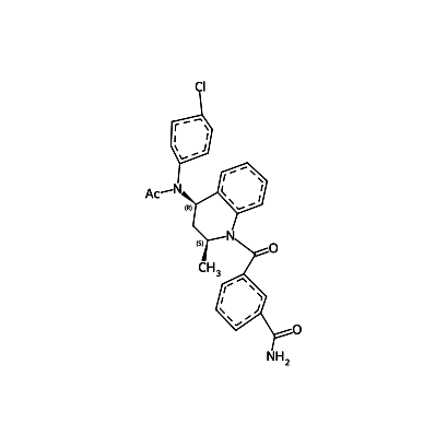 CC(=O)N(c1ccc(Cl)cc1)[C@@H]1C[C@H](C)N(C(=O)c2cccc(C(N)=O)c2)c2ccccc21